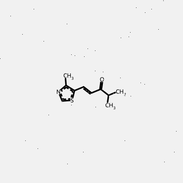 Cc1ncsc1/C=C/C(=O)C(C)C